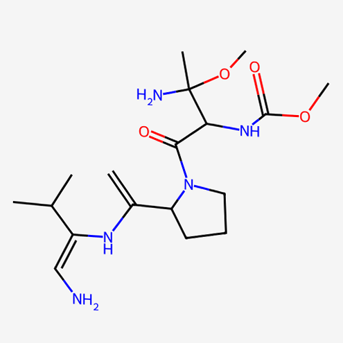 C=C(N/C(=C\N)C(C)C)C1CCCN1C(=O)C(NC(=O)OC)C(C)(N)OC